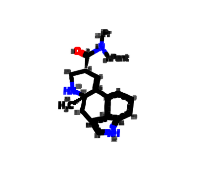 CCCCCN(C(=O)[C@@H]1C=C2c3cccc4[nH]cc(c34)C[C@@]2(C)NC1)C(C)C